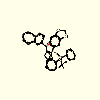 CC(C)(C)[Si](C[C@]1(c2ccc3c(c2)OCO3)CC2CC1(C(=O)c1ccc3ccccc3c1)C2)(c1ccccc1)c1ccccc1